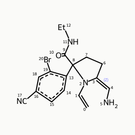 C=CN1/C(=C\N)CCC1(C(=O)NCC)c1ccc(C#N)cc1Br